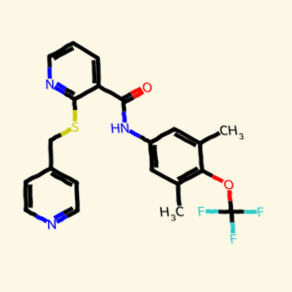 Cc1cc(NC(=O)c2cccnc2SCc2ccncc2)cc(C)c1OC(F)(F)F